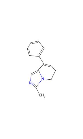 Cc1ncc2n1CCC=C2c1ccccc1